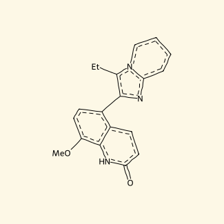 CCc1c(-c2ccc(OC)c3[nH]c(=O)ccc23)nc2ccccn12